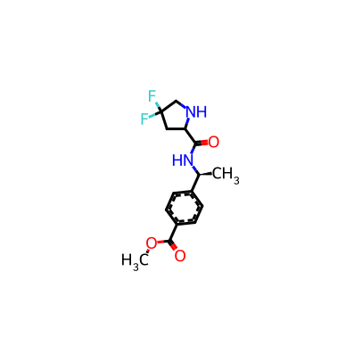 COC(=O)c1ccc([C@H](C)NC(=O)C2CC(F)(F)CN2)cc1